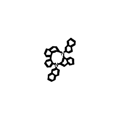 c1ccc2cc(-n3c4ccc5cccc(c5c4)c4ccccc4n(-c4ccc5ccccc5c4)c4cc5ccccc5c3c4)ccc2c1